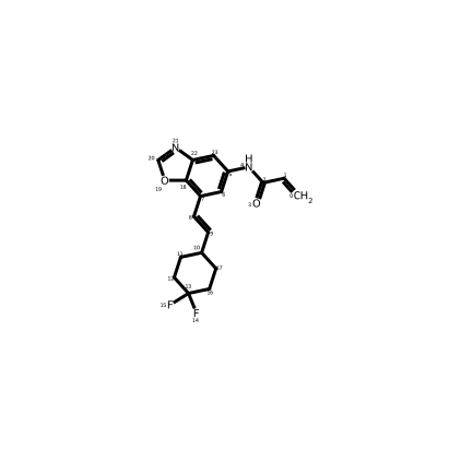 C=CC(=O)Nc1cc(C=CC2CCC(F)(F)CC2)c2ocnc2c1